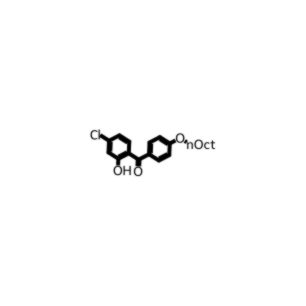 CCCCCCCCOc1ccc(C(=O)c2ccc(Cl)cc2O)cc1